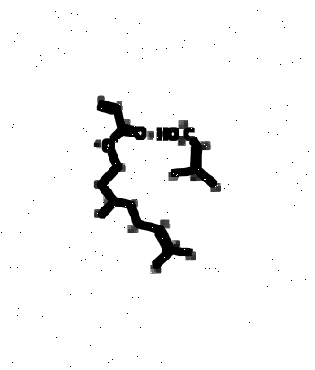 C=CC(=O)OCCC(C)CCC=C(C)C.CC(C)=CC(=O)O